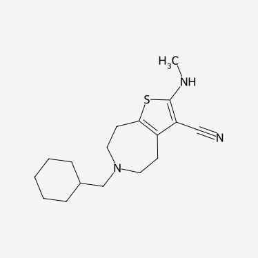 CNc1sc2c(c1C#N)CCN(CC1CCCCC1)CC2